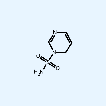 NS(=O)(=O)N1C=NC=CC1